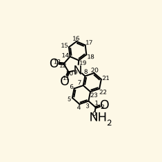 NC(=O)c1cccc2c(N3C(=O)C(=O)c4ccccc43)cccc12